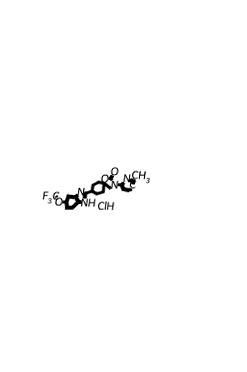 Cc1cccc(N2CC3(CCC(c4nc5cc(OC(F)(F)F)ccc5[nH]4)CC3)OC2=O)n1.Cl